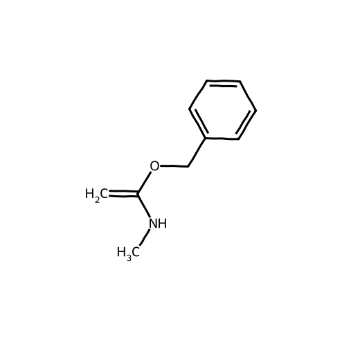 C=C(NC)OCc1ccccc1